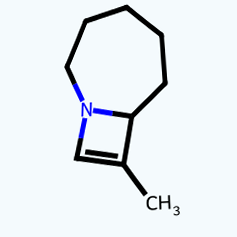 CC1=CN2CCCCCC12